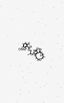 CCc1nn(C[C@@H](C)COC(=O)c2c(F)cccc2OC)c2c1C(=O)NCCCOCCC2